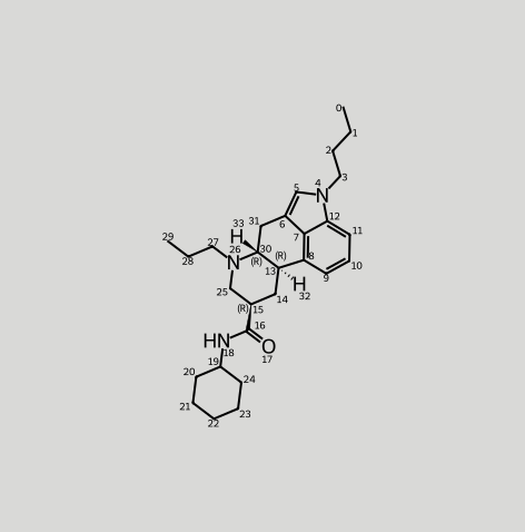 CCCCn1cc2c3c(cccc31)[C@H]1C[C@@H](C(=O)NC3CCCCC3)CN(CCC)[C@@H]1C2